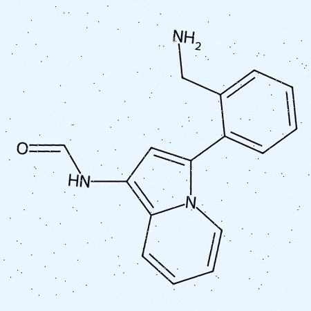 NCc1ccccc1-c1cc(NC=O)c2ccccn12